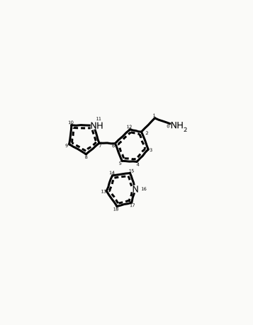 NCc1cccc(-c2ccc[nH]2)c1.c1ccncc1